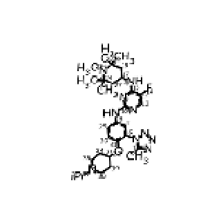 Cc1nnnn1-c1cc(Nc2ncc(F)c(NC3CC(C)(C)N(C)C(C)(C)C3)n2)ccc1OC1CCN(C(C)C)CC1